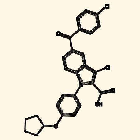 O=C(c1ccc(Cl)cc1)c1ccc2c(c1)c(Cl)c(C(=O)O)n2-c1ccc(OC2CCCC2)cc1